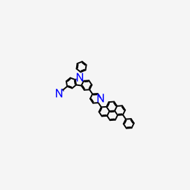 N#Cc1ccc2c(c1)c1cc(-c3ccc(-c4ccc5ccc6c(-c7ccccc7)ccc7ccc4c5c76)nc3)ccc1n2-c1ccccc1